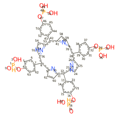 O=[PH](O)Oc1ccc(-c2c3nc(c(-c4ccc(O[PH](=O)O)cc4)c4ccc([nH]4)c(-c4ccc(OP(O)O)cc4)c4nc(c(-c5ccc(OP(O)O)cc5)c5ccc2[nH]5)C=C4)C=C3)cc1